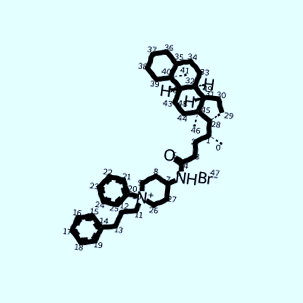 C[C@H](CCC(=O)NC1CC[N+](CCCc2ccccc2)(c2ccccc2)CC1)[C@H]1CC[C@H]2[C@@H]3CCC4CCCC[C@]4(C)[C@H]3CC[C@]12C.[Br-]